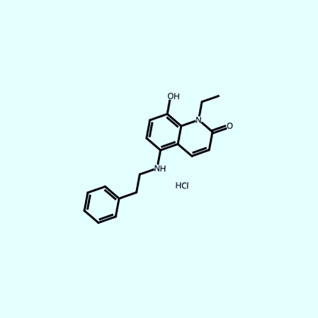 CCn1c(=O)ccc2c(NCCc3ccccc3)ccc(O)c21.Cl